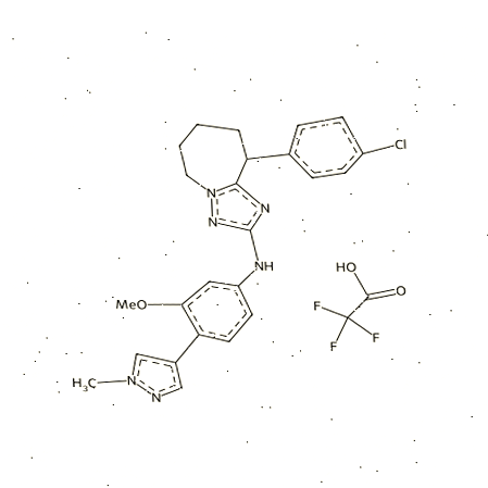 COc1cc(Nc2nc3n(n2)CCCCC3c2ccc(Cl)cc2)ccc1-c1cnn(C)c1.O=C(O)C(F)(F)F